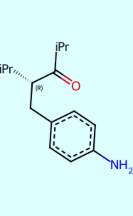 CC(C)C(=O)[C@H](Cc1ccc(N)cc1)C(C)C